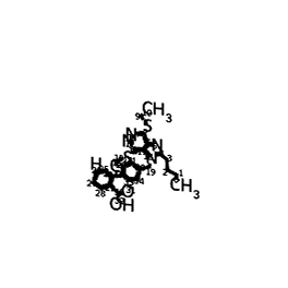 CCCCc1nc2c(SCC)nnc(SCC)c2n1Cc1ccc(-c2ccccc2C(=O)O)cc1